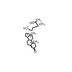 C=C(O)[C@H](C)CCCC(C)[C@H]1CCC2C3CCC4=CC(=O)CC[C@]4(C)C3CC[C@@]21C